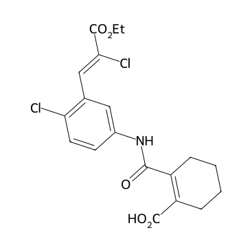 CCOC(=O)C(Cl)=Cc1cc(NC(=O)C2=C(C(=O)O)CCCC2)ccc1Cl